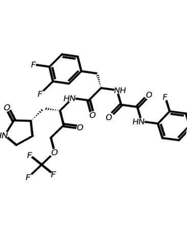 O=C(Nc1ccccc1F)C(=O)N[C@@H](Cc1ccc(F)c(F)c1)C(=O)N[C@@H](C[C@@H]1CCNC1=O)C(=O)COC(F)(F)F